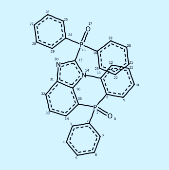 O=P1(c2ccccc2)c2ccccc2-n2c(P(=O)(c3ccccc3)c3ccccc3)nc3cccc1c32